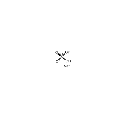 O=[SH]([O-])(O)O.[Na+]